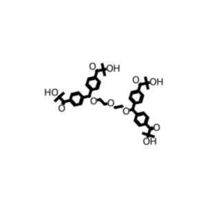 CC(C)(O)C(=O)c1ccc(C(OCCOCCOC(c2ccc(C(=O)C(C)(C)O)cc2)c2ccc(C(=O)C(C)(C)O)cc2)c2ccc(C(=O)C(C)(C)O)cc2)cc1